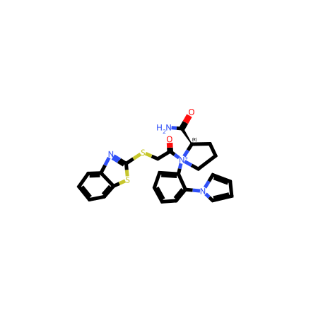 NC(=O)[C@H]1CCC[N+]1(C(=O)CSc1nc2ccccc2s1)c1ccccc1-n1cccc1